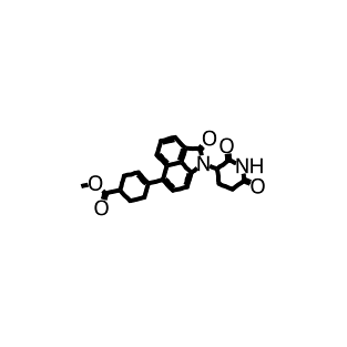 COC(=O)C1CC=C(c2ccc3c4c(cccc24)C(=O)N3C2CCC(=O)NC2=O)CC1